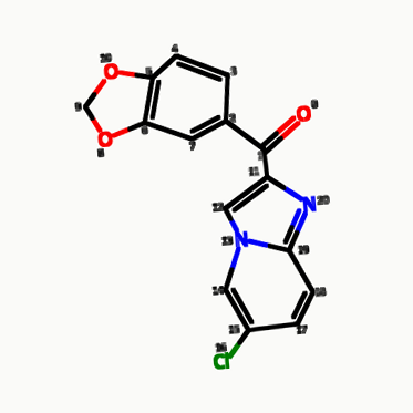 O=C(c1ccc2c(c1)OCO2)c1cn2cc(Cl)ccc2n1